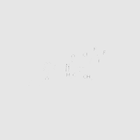 CC1(C)C(C=C(Cl)C(F)(F)F)C1C(=O)NCc1cccc(Oc2ccccc2)c1